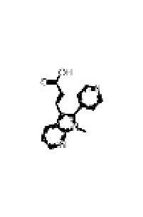 Cn1c(-c2ccncc2)c(C=CC(=O)O)c2cccnc21